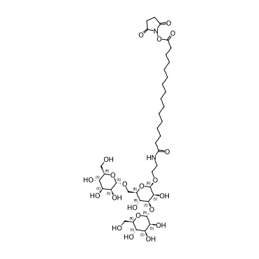 O=C(CCCCCCCCCCCCCCC(=O)ON1C(=O)CCC1=O)NCCO[C@@H]1O[C@H](CO[C@H]2O[C@H](CO)[C@@H](O)[C@H](O)[C@@H]2O)[C@@H](O)[C@H](O[C@H]2O[C@H](CO)[C@@H](O)[C@H](O)[C@@H]2O)[C@@H]1O